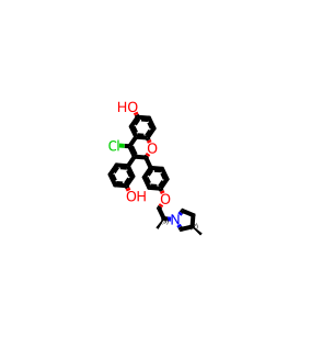 C[C@@H]1CCN([C@@H](C)COc2ccc(C3Oc4ccc(O)cc4C(Cl)=C3c3cccc(O)c3)cc2)C1